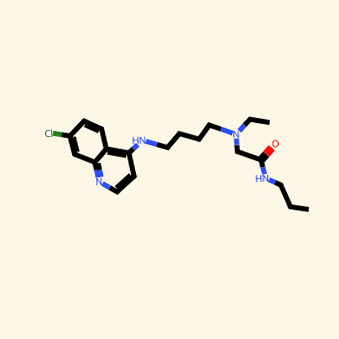 CCCNC(=O)CN(CC)CCCCNc1ccnc2cc(Cl)ccc12